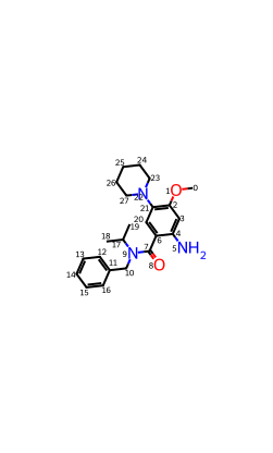 COc1cc(N)c(C(=O)N(Cc2ccccc2)C(C)C)cc1N1CCCCC1